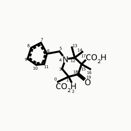 CC1(C(=O)O)CN(Cc2ccccc2)C(C)(C)C(C)(C(=O)O)C1=O